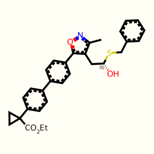 CCOC(=O)C1(c2ccc(-c3ccc(-c4onc(C)c4C[C@@H](O)SCc4ccccc4)cc3)cc2)CC1